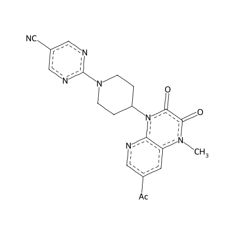 CC(=O)c1cnc2c(c1)n(C)c(=O)c(=O)n2C1CCN(c2ncc(C#N)cn2)CC1